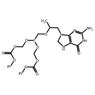 CC(C)OC(=O)OCOP(COC(C)CN1CNc2c1nc(N)[nH]c2=O)OCOC(=O)OC(C)C